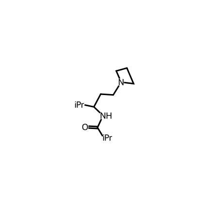 CC(C)C(=O)NC(CCN1CCC1)C(C)C